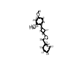 COc1ccc(C2CC(OCc3ccccc3)C2)c(O)c1